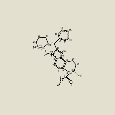 COC(=O)N1c2ccc3c(nc(Cc4ccccc4)n3C[C@H]3CCCCN3)c2CC[C@@H]1C